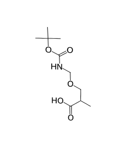 CC(COCNC(=O)OC(C)(C)C)C(=O)O